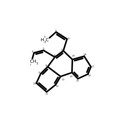 C/C=C\c1c(/C=C\C)c2ccccc2c2ccccc12